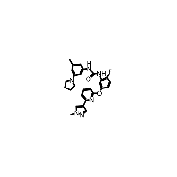 Cc1cc(NC(=O)Nc2cc(Oc3cccc(-c4cnn(C)c4)n3)ccc2F)cc(N2CCCC2)c1